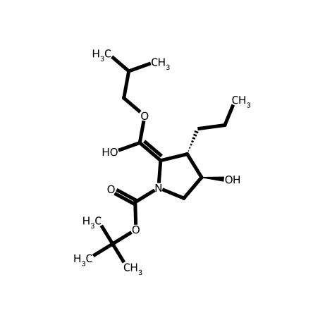 CCC[C@H]1/C(=C(/O)OCC(C)C)N(C(=O)OC(C)(C)C)C[C@@H]1O